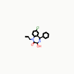 C=CCN1C(=O)C(O)N=C(c2ccccc2)c2cc(Cl)ccc21